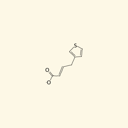 [O]C(=O)C=CCc1ccsc1